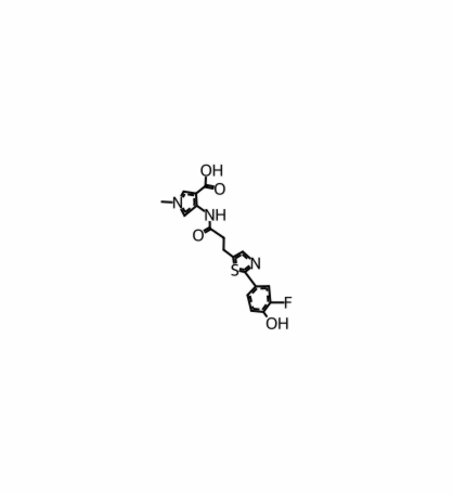 Cn1cc(NC(=O)CCc2cnc(-c3ccc(O)c(F)c3)s2)c(C(=O)O)c1